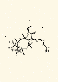 C=C(/C=C\C)/C(=N\C=N/CC=N)N1C(C)(C)CC(C)(C)C(C(N)CCC)(C(C)(C)CCC)C(C)(C)CC1(C)C